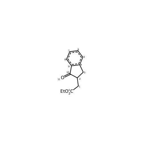 CCOC(=O)CC1Cc2ccccc2C1=O